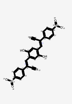 N#C/C(=C\c1cc(O)c(/C=C(\C#N)c2ccc([N+](=O)[O-])cc2)cc1O)c1ccc([N+](=O)[O-])cc1